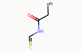 CCCCC(=O)N[C]=S